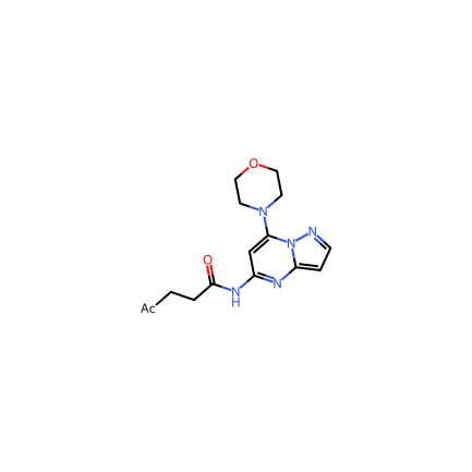 CC(=O)CCC(=O)Nc1cc(N2CCOCC2)n2nccc2n1